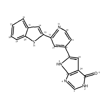 O=c1[nH]cnc2[nH]c(-c3ccnc(-c4cc5ccccc5s4)c3)cc12